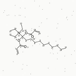 C=CC(=O)OC(CCCCCCCCCC)(OC(=O)C=C)[N+](CC)(CC)CC